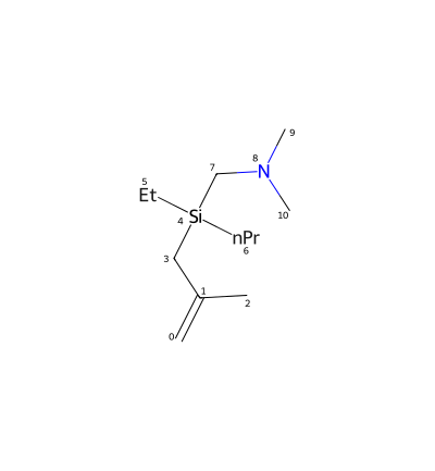 C=C(C)C[Si](CC)(CCC)CN(C)C